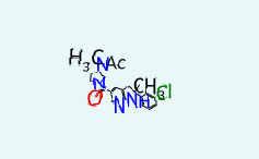 CC(=O)N(C)[C@H]1CCN(C(=O)c2cnc3c(c2)CC(C)(c2cccc(Cl)c2)N3)C1